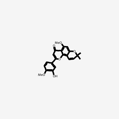 COc1ccc(-c2cc(=O)c3c(OC)cc4c(c3o2)C=CC(C)(C)O4)cc1O